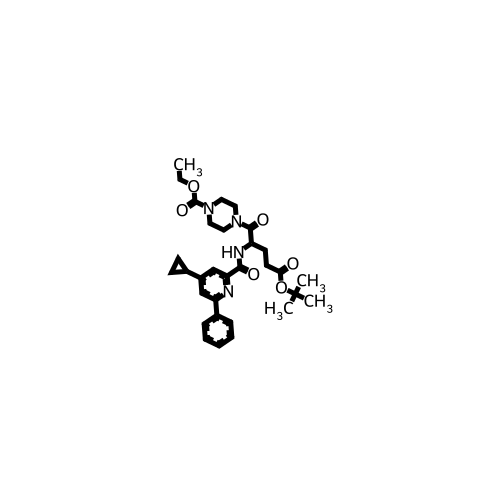 CCOC(=O)N1CCN(C(=O)C(CCC(=O)OC(C)(C)C)NC(=O)c2cc(C3CC3)cc(-c3ccccc3)n2)CC1